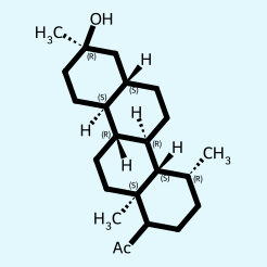 CC(=O)C1CC[C@@H](C)[C@H]2[C@@H]3CC[C@H]4C[C@](C)(O)CC[C@@H]4[C@H]3CC[C@]12C